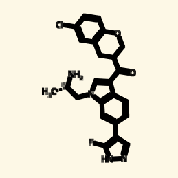 C[C@H](N)Cn1cc(C(=O)C2COc3ccc(Cl)cc3C2)c2ccc(-c3cn[nH]c3F)cc21